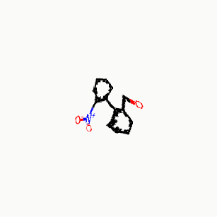 O=Cc1ccccc1-c1ccccc1[N+](=O)[O-]